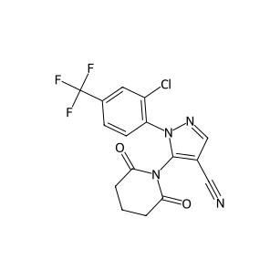 N#Cc1cnn(-c2ccc(C(F)(F)F)cc2Cl)c1N1C(=O)CCCC1=O